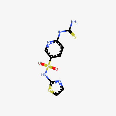 NC(=S)Nc1ccc(S(=O)(=O)Nc2nccs2)cn1